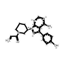 C=CC(=O)N1CCC[C@@H](n2nc(-c3ccc(O)cc3)c3c(N)ncnc32)C1